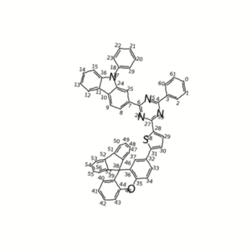 c1ccc(-c2nc(-c3ccc4c5ccccc5n(-c5ccccc5)c4c3)nc(-c3ccc(-c4ccc5c(c4)C4(c6ccccc6O5)c5ccccc5-c5ccccc54)s3)n2)cc1